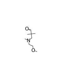 COCCN(C)CC(C)(C)C=O